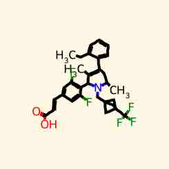 CCc1ccccc1C1=C(C)C(c2c(F)cc(/C=C/C(=O)O)cc2F)N(CC23CC(C(F)(F)F)(C2)C3)C(C)C1